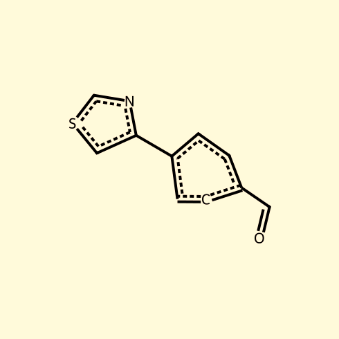 O=Cc1ccc(-c2cscn2)cc1